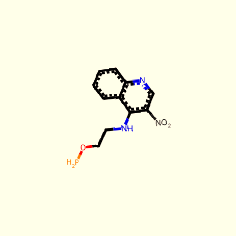 O=[N+]([O-])c1cnc2ccccc2c1NCCOP